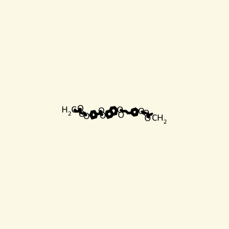 C=CC(=O)OCOc1ccc(CCC(=O)Oc2ccc3cc(OC(=O)c4ccc(OCOC(=O)C=C)cc4)ccc3c2)cc1